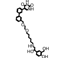 O=c1[nH]cc(-c2cccc(-c3cccc(COCCOCCCCCCNC[C@@H](O)c4ccc(O)c(CO)c4)c3)c2)c(=O)[nH]1